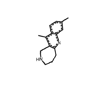 Cc1ccc2c(C)c3c(nc2c1)CCCNC3